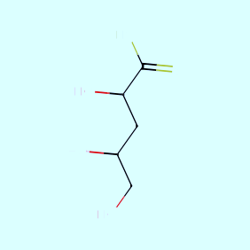 OCC(O)CC(O)C(=S)S